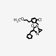 COCCCc1ccc(Cl)c(CN(C(=O)/C(C#N)=C/c2ccccc2)C2CC2)c1